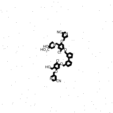 N#Cc1cncc(COc2cc(OCc3cccc(-c4cccc(COc5cc(OCc6cncc(C#N)c6)c(CN6CCC(O)(C(=O)O)CC6)cc5Cl)c4)c3)c(Cl)cc2CO)c1